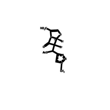 CC(=O)OC(c1cn(C)nn1)C1(Br)C(=O)N2C(C(=O)O)=CS[C@@H]21